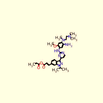 C=CC(=O)OC(=O)/C=C/c1ccc2c(-c3ccnc(Nc4cc(N)c(N(C)CCN(C)C)cc4OC)n3)nn(C(C)C)c2c1